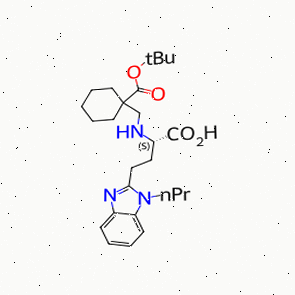 CCCn1c(CC[C@H](NCC2(C(=O)OC(C)(C)C)CCCCC2)C(=O)O)nc2ccccc21